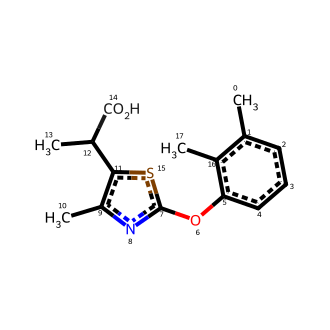 Cc1cccc(Oc2nc(C)c(C(C)C(=O)O)s2)c1C